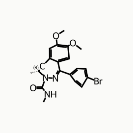 CNC(=O)N1N=C(c2ccc(Br)cc2)c2cc(OC)c(OC)cc2C[C@H]1C